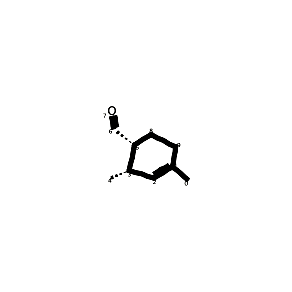 CC1=C[C@H](C)[C@H](C=O)CC1